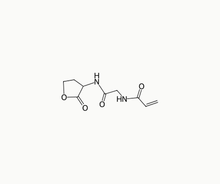 C=CC(=O)NCC(=O)NC1CCOC1=O